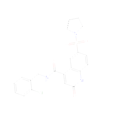 O=C(NCc1ccccc1Cl)c1cc(=O)[nH]c2ccc(S(=O)(=O)N3CCCC3)cc12